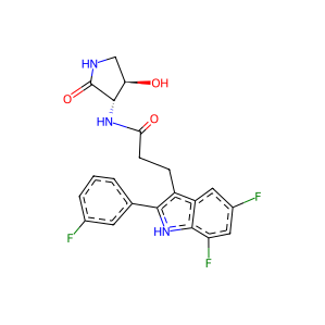 O=C(CCc1c(-c2cccc(F)c2)[nH]c2c(F)cc(F)cc12)N[C@@H]1C(=O)NC[C@H]1O